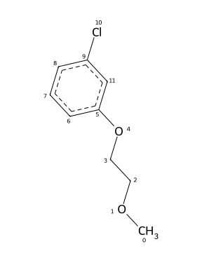 COCCOc1cccc(Cl)c1